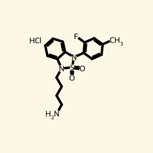 Cc1ccc(N2c3ccccc3N(CCCCN)S2(=O)=O)c(F)c1.Cl